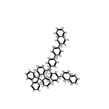 c1ccc(C2(c3ccccc3)c3ccccc3-c3c(N(c4ccc(-c5ccc(-c6ccc7ccccc7c6)cc5)cc4)c4cccc(-c5ccc6ccccc6c5)c4)cccc32)cc1